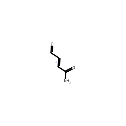 NC(=O)/C=C/C=O